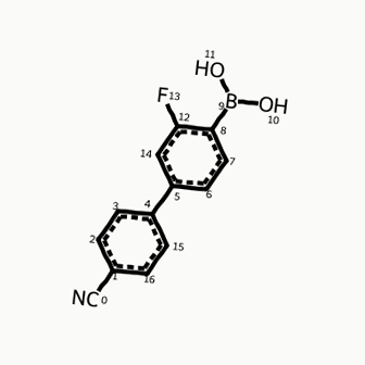 N#Cc1ccc(-c2ccc(B(O)O)c(F)c2)cc1